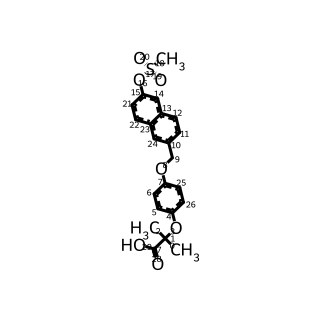 CC(C)(Oc1ccc(OCc2ccc3cc(OS(C)(=O)=O)ccc3c2)cc1)C(=O)O